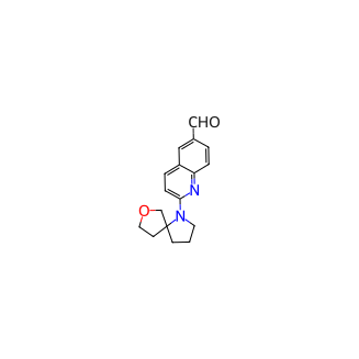 O=Cc1ccc2nc(N3CCCC34CCOC4)ccc2c1